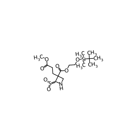 COC(=O)CCC1(C(=O)OCCO[Si](C)(C)C(C)(C)C)CNC1=S(=O)=O